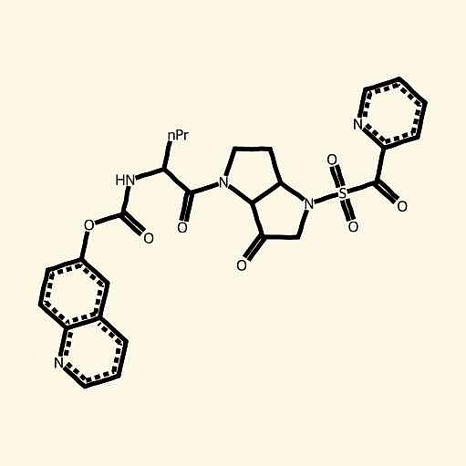 CCCC(NC(=O)Oc1ccc2ncccc2c1)C(=O)N1CCC2C1C(=O)CN2S(=O)(=O)C(=O)c1ccccn1